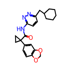 O=C(Nc1ccc(CC2CCCCC2)nn1)C1(c2ccc3c(c2)OCO3)CC1